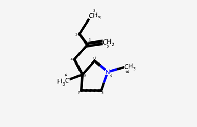 C=C(CC)CC1(C)CCN(C)C1